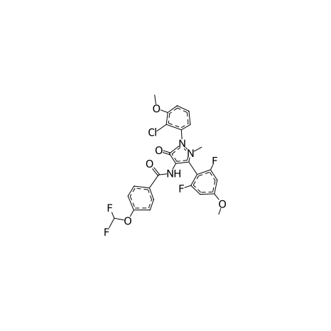 COc1cc(F)c(-c2c(NC(=O)c3ccc(OC(F)F)cc3)c(=O)n(-c3cccc(OC)c3Cl)n2C)c(F)c1